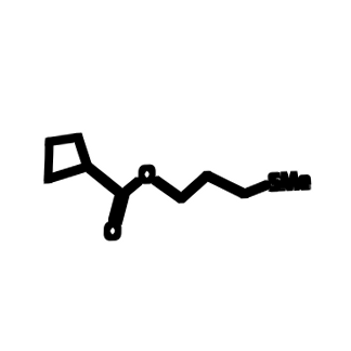 CSCCCOC(=O)C1CCC1